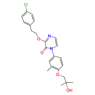 Cc1cc(-n2ccnc(OCCc3ccc(Cl)cc3)c2=O)ccc1OCC(C)(C)O